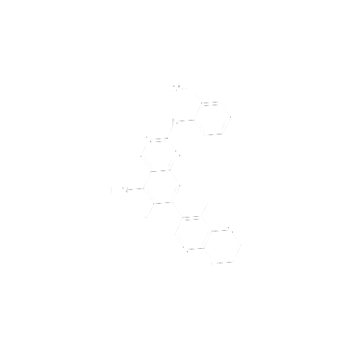 COc1ccccc1Nc1ncc2c(N)c(F)c(-c3cnc4c(c3C)NCCO4)cc2n1